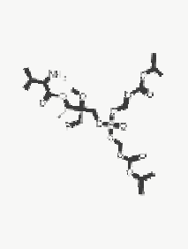 CO[C@](CF)(COP(=O)(OCOC(=O)OC(C)C)OCOC(=O)OC(C)C)[C@H](C)OC(=O)C(N)C(C)C